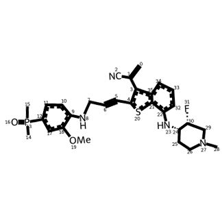 C=C(C#N)c1c(C#CCNc2ccc(P(C)(C)=O)cc2OC)sc2c(N[C@H]3CCN(C)C[C@H]3F)cccc12